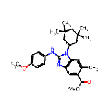 COC(=O)c1cc2nc(Nc3ccc(OC(F)(F)F)cc3)n(C3CC(C)(C)CC(C)(C)C3)c2cc1C